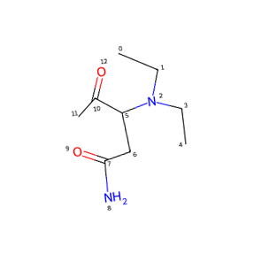 CCN(CC)C(CC(N)=O)C(C)=O